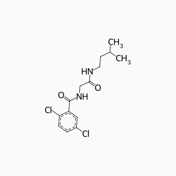 CC(C)CCNC(=O)CNC(=O)c1cc(Cl)ccc1Cl